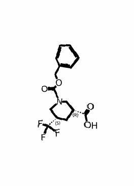 O=C(O)[C@@H]1C[C@H](C(F)(F)F)CN(C(=O)OCc2ccccc2)C1